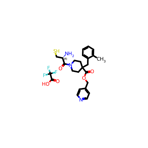 Cc1ccccc1CC1(C(=O)OCc2ccncc2)CCN(C(=O)[C@@H](N)CS)CC1.O=C(O)C(F)(F)F